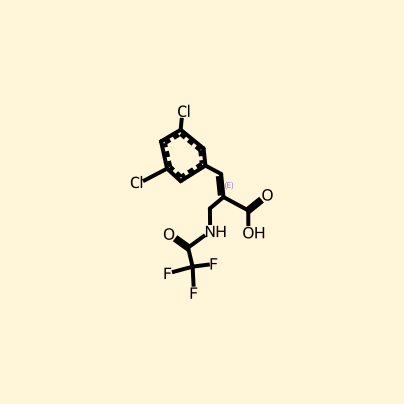 O=C(O)/C(=C/c1cc(Cl)cc(Cl)c1)CNC(=O)C(F)(F)F